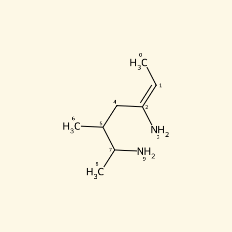 C/C=C(/N)CC(C)C(C)N